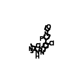 Cc1nsc(Nc2ncc3cc(Cl)c(C4CCN(C5CCOC5)CC4F)cc3n2)c1Cl